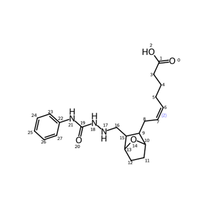 O=C(O)CCC/C=C\CC1C2CCC(O2)C1CNNC(=O)Nc1ccccc1